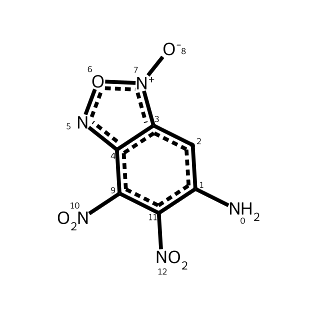 Nc1cc2c(no[n+]2[O-])c([N+](=O)[O-])c1[N+](=O)[O-]